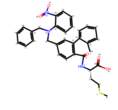 CSCC[C@H](NC(=O)c1ccc(CN(Cc2ccccc2)c2ccccc2[N+](=O)[O-])cc1-c1ccccc1C)C(=O)O